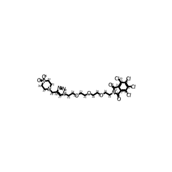 O=C1c2c(Cl)c(Cl)c(Cl)c(Cl)c2C(=O)N1CCOCCOCCOCCn1cc(CN2CCS(=O)(=O)CC2)nn1